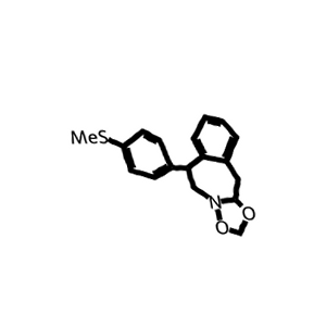 CSc1ccc(C2CN3OCOC3Cc3ccccc32)cc1